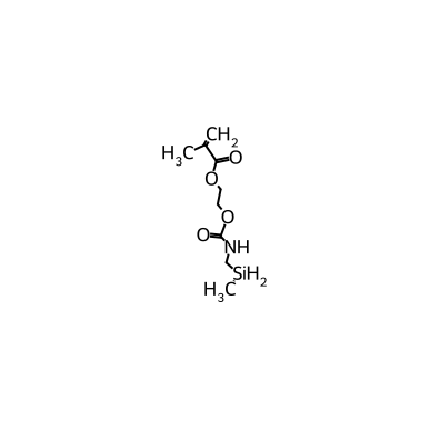 C=C(C)C(=O)OCCOC(=O)NC[SiH2]C